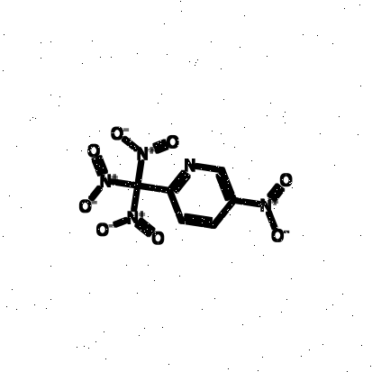 O=[N+]([O-])c1ccc(C([N+](=O)[O-])([N+](=O)[O-])[N+](=O)[O-])nc1